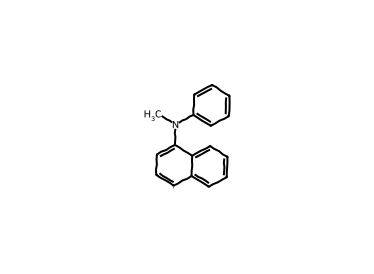 CN(c1ccccc1)c1cc[c]c2ccccc12